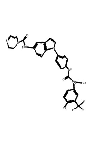 O=C(Nc1ccc2c(ccn2-c2ccc(NC(=O)N(O)c3ccc(Cl)c(C(F)(F)F)c3)cc2)c1)N1CCOCC1